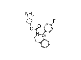 NC1CC(OC(=O)N2CCc3ccccc3[C@@H]2c2ccc(F)cc2)C1